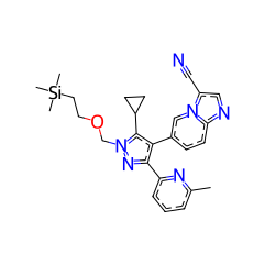 Cc1cccc(-c2nn(COCC[Si](C)(C)C)c(C3CC3)c2-c2ccc3ncc(C#N)n3c2)n1